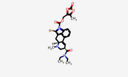 CCN(CC)C(=O)[C@@H]1C=C2c3cccc4c3c(c(Br)n4C(=O)OCc3oc(=O)oc3C)C[C@H]2N(C)C1